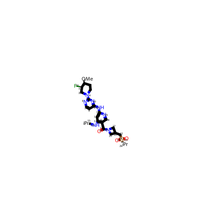 CO[C@H]1CCN(c2nccc(Nc3cc(NC(C)C)c(C(=O)N4CC(CS(=O)(=O)C(C)C)C4)cn3)n2)C[C@H]1F